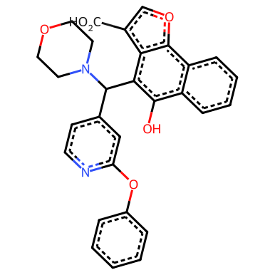 O=C(O)c1coc2c1c(C(c1ccnc(Oc3ccccc3)c1)N1CCOCC1)c(O)c1ccccc12